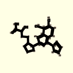 O=C(O)C(O)CCC1CCCN1c1cc(-n2ccnc2)c2ccc(Cl)c(Cl)c2n1